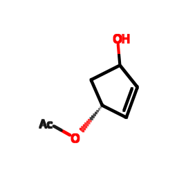 CC(=O)O[C@H]1C=CC(O)C1